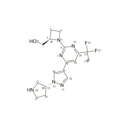 OC[C@H]1CCN1c1nc(-c2cnn([C@@H]3CCNC3)c2)cc(C(F)(F)F)n1